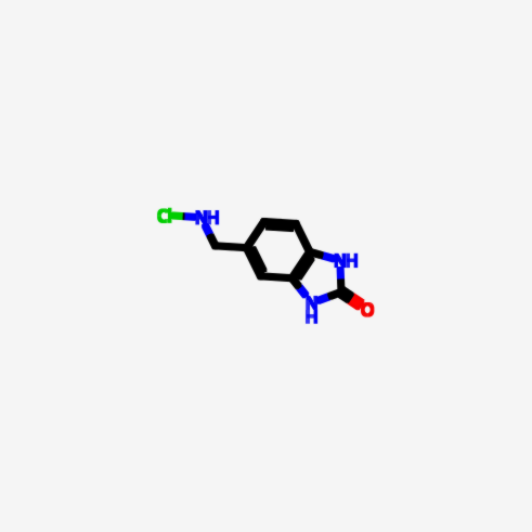 O=c1[nH]c2ccc(CNCl)cc2[nH]1